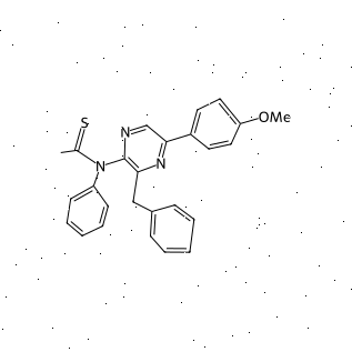 COc1ccc(-c2cnc(N(C(C)=S)c3ccccc3)c(Cc3ccccc3)n2)cc1